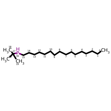 CCCCCCCCCCCCCCCCPC(C)(C)C